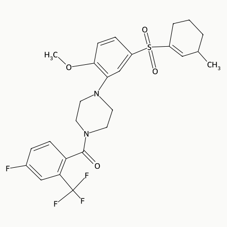 COc1ccc(S(=O)(=O)C2=CC(C)CCC2)cc1N1CCN(C(=O)c2ccc(F)cc2C(F)(F)F)CC1